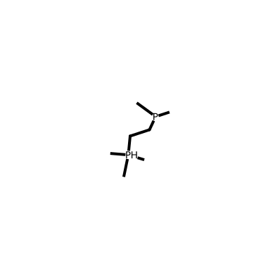 CP(C)CC[PH](C)(C)C